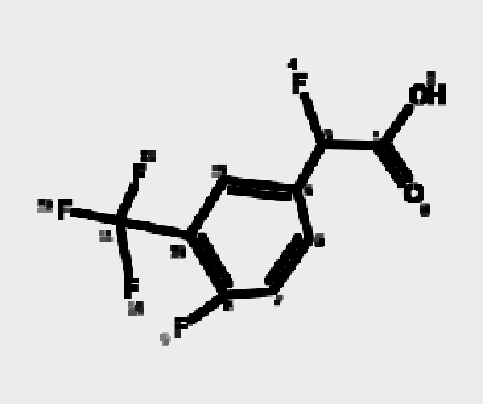 O=C(O)C(F)c1ccc(F)c(C(F)(F)F)c1